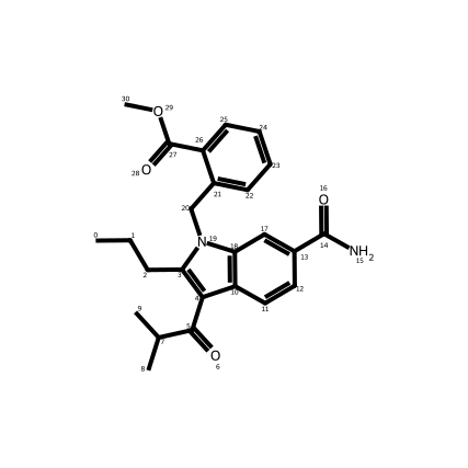 CCCc1c(C(=O)C(C)C)c2ccc(C(N)=O)cc2n1Cc1ccccc1C(=O)OC